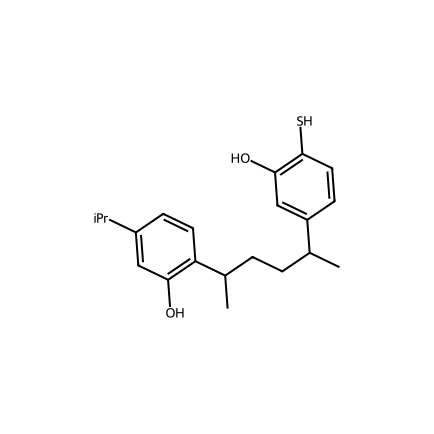 CC(C)c1ccc(C(C)CCC(C)c2ccc(S)c(O)c2)c(O)c1